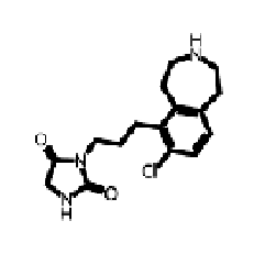 O=C1CNC(=O)N1CCCc1c(Cl)ccc2c1CCNCC2